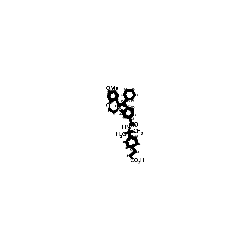 COc1ccc2c(c1)OCCn1c-2c(C2CCCCC2)c2ccc(C(=O)NC(C)(C)c3ccc(C=CC(=O)O)cc3)cc21